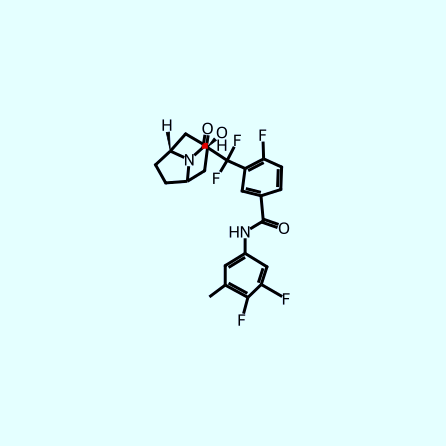 Cc1cc(NC(=O)c2ccc(F)c(C(F)(F)C(=O)N3C4CC[C@@H]3C[C@@H](O)C4)c2)cc(F)c1F